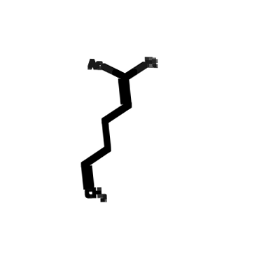 C=CCCC=C(CC)C(C)=O